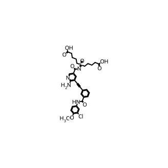 COc1ccc(NC(=O)c2cccc(C#Cc3cc(C(=O)N=S(=O)(CCCCC(=O)O)CCCCC(=O)O)cnc3N)c2)cc1Cl